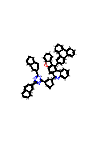 c1cc(-c2nc(-c3ccc4ccccc4c3)nc(-c3ccc4ccccc4c3)n2)cc(-c2nc3ccccc3c3c(-c4ccc5c6ccccc6c6ccccc6c5c4)c4c(cc23)oc2ccccc24)c1